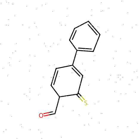 O=CC1C=CC(c2ccccc2)=CC1=S